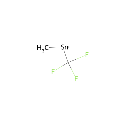 [CH3][Sn][C](F)(F)F